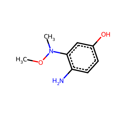 CON(C)c1cc(O)ccc1N